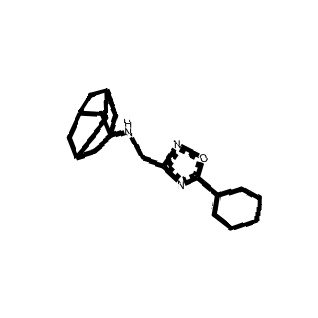 C1CCC(c2nc(CNC34CC5CC(CC(C5)C3)C4)no2)CC1